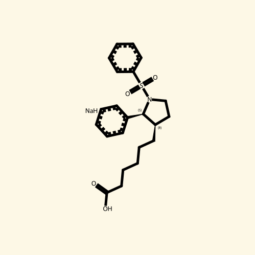 O=C(O)CCCCC[C@@H]1CCN(S(=O)(=O)c2ccccc2)[C@@H]1c1ccccc1.[NaH]